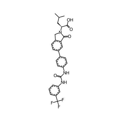 CC(C)C[C@@H](C(=O)O)N1Cc2ccc(-c3ccc(NC(=O)Nc4cccc(C(F)(F)F)c4)cc3)cc2C1=O